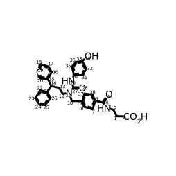 O=C(O)CCNC(=O)c1ccc(CN(CCC(c2ccccc2)c2ccccc2)C(=O)Nc2ccc(O)cc2)cc1